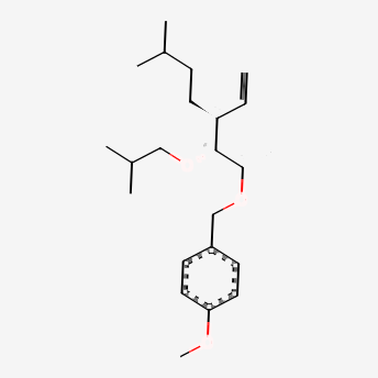 C=C[C@H](CCC(C)C)[C@@H](OCC(C)C)[C@H](C)OCc1ccc(OC)cc1